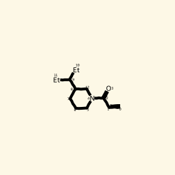 C=CC(=O)N1CCCC(C(CC)CC)C1